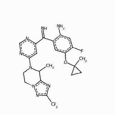 CC1c2nc(C(F)(F)F)nn2CCN1c1cc(C(=N)c2cc(OC3(C)CC3)c(F)cc2N)ncn1